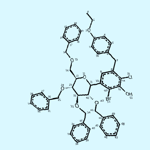 CCOc1ccc(Cc2cc(C3O[C@H](COCc4ccccc4)[C@@H](OCc4ccccc4)[C@H](OCc4ccccc4)[C@H]3OCc3ccccc3)c(Br)c(O)c2Cl)cc1